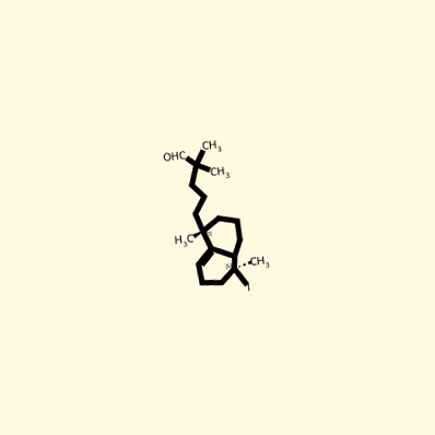 CC(C)(C=O)CCC[C@]1(C)CCCC2C1=CCC[C@]2(C)I